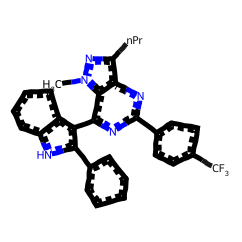 CCCc1nn(C)c2c(-c3c(-c4ccccc4)[nH]c4ccccc34)nc(-c3ccc(C(F)(F)F)cc3)nc12